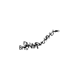 C#CCOCCOCCOCCOCCNC(=O)CBr